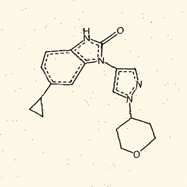 O=c1[nH]c2ccc(C3CC3)cc2n1-c1cnn(C2CCOCC2)c1